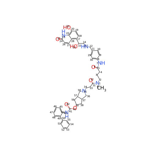 CN(CCCC(=O)Nc1ccc(CNCC(O)c2ccc(O)c3[nH]c(=O)ccc23)cc1)C(=O)CCN1CC2CC(OC(=O)Nc3ccccc3-c3ccccc3)CC2C1